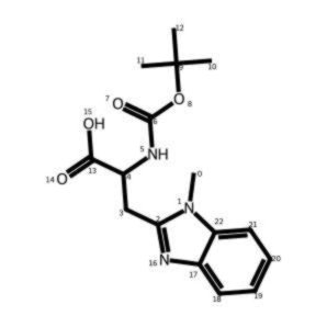 Cn1c(CC(NC(=O)OC(C)(C)C)C(=O)O)nc2ccccc21